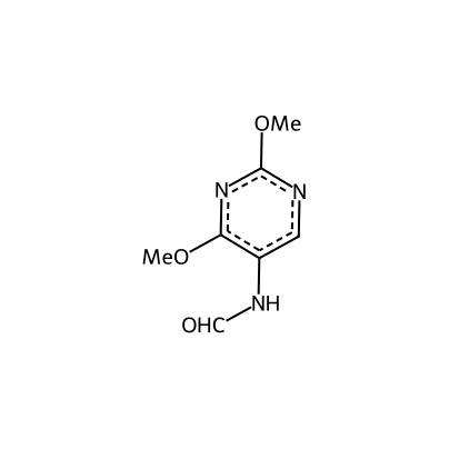 COc1ncc(NC=O)c(OC)n1